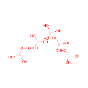 OB(O)O.OB(O)O.OB(O)O.OB(O)O.OOB(O)O